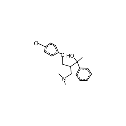 CN(C)CC(COc1ccc(Cl)cc1)C(C)(O)c1ccccc1